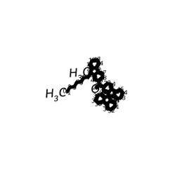 CCCCCCCCC1(C)c2ccccc2-c2ccc(C(=O)c3ccc4c(c3)C3(c5ccccc5-c5ccccc53)c3ccccc3-4)cc21